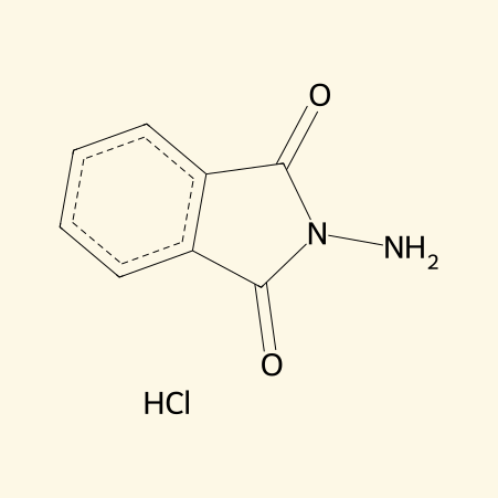 Cl.NN1C(=O)c2ccccc2C1=O